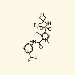 Cn1cc(S(=O)(=O)NC2(C(F)(F)F)COC2)c(F)c1C(=O)Nc1ccnc(C(F)F)c1